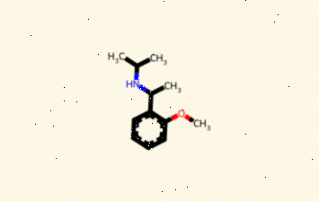 COc1ccccc1C(C)NC(C)C